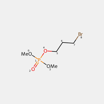 COP(=O)(OC)OCCCBr